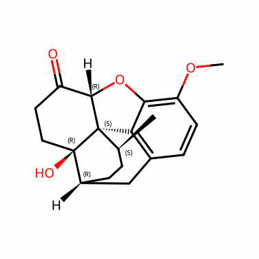 COc1ccc2c3c1O[C@H]1C(=O)CC[C@@]4(O)[C@H](CC[C@H](C)[C@]314)C2